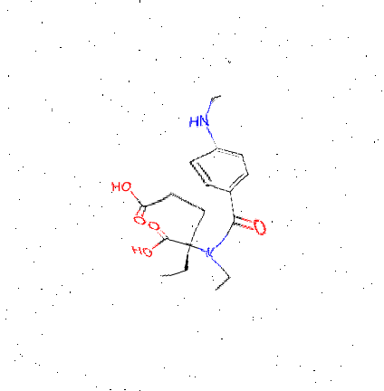 CCN(C(=O)c1ccc(NC)cc1)[C@@](CC)(CCC(=O)O)C(=O)O